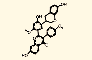 COc1ccc(-c2c(-c3cc(C4COc5cc(O)ccc5C4)c(O)cc3OC)oc3cc(O)ccc3c2=O)cc1